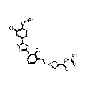 CCc1c(CCN2CC(C(=O)OC(=O)C(F)(F)F)C2)cccc1-c1nnc(-c2ccc(OC(C)C)c(Cl)c2)s1